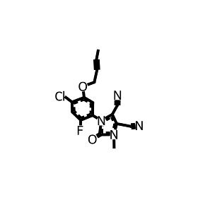 CC#CCOc1cc(-n2c(C#N)c(C#N)n(C)c2=O)c(F)cc1Cl